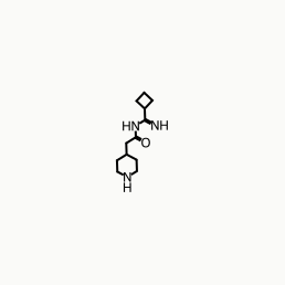 N=C(NC(=O)CC1CCNCC1)C1CCC1